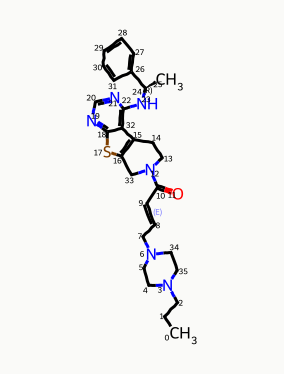 CCCN1CCN(C/C=C/C(=O)N2CCc3c(sc4ncnc(N[C@H](C)c5ccccc5)c34)C2)CC1